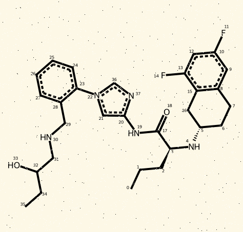 CCC[C@H](N[C@H]1CCc2cc(F)cc(F)c2C1)C(=O)Nc1cn(-c2ccccc2CNCC(O)CC)cn1